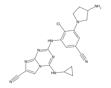 N#Cc1cc(Nc2nc(NC3CC3)n3cc(C#N)nc3n2)c(Cl)c(N2CCC(N)C2)c1